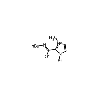 CCCC/N=C(\[O-])c1n(CC)cc[n+]1C